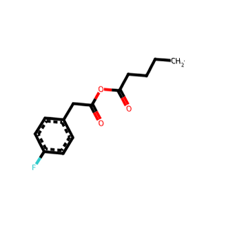 [CH2]CCCC(=O)OC(=O)Cc1ccc(F)cc1